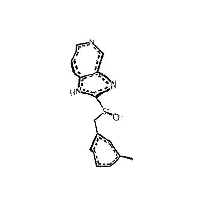 Cc1cccc(C[S+]([O-])c2nc3cnccc3[nH]2)c1